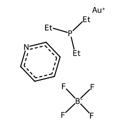 CCP(CC)CC.F[B-](F)(F)F.[Au+].c1ccncc1